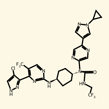 O=C(NCC(F)(F)F)N(c1cnc(-c2cnn(C3CC3)c2)cn1)[C@H]1CC[C@H](Nc2ncc(C(F)(F)F)c(-c3n[nH]cc3Cl)n2)CC1